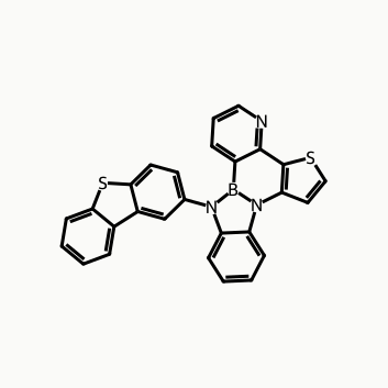 c1cnc2c(c1)B1N(c3ccc4sc5ccccc5c4c3)c3ccccc3N1c1ccsc1-2